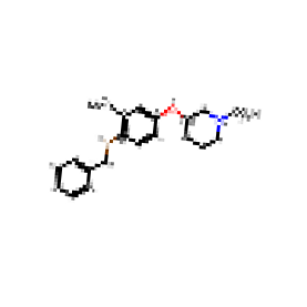 COc1cc(O[C@@H]2CCCN(C(=O)O)C2)ccc1SCc1ccccc1